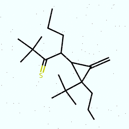 C=C1C(C(CCC)C(=S)C(C)(C)C)C1(CCC)C(C)(C)C